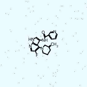 C=C1CCCN(c2c(F)cnc3[nH]cc(NC(=O)c4cccnc4)c23)C1